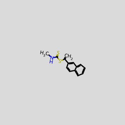 C=C(SC(=S)NC)c1ccc2ccccc2c1